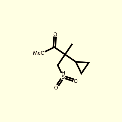 COC(=O)C(C)(C[SH](=O)=O)C1CC1